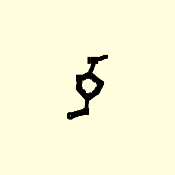 CNc1ccc(N=O)cn1